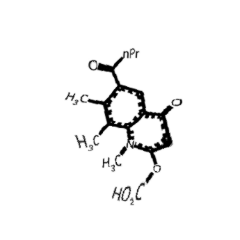 CCCC(=O)c1cc2c(=O)cc(OC(=O)O)n(C)c2c(C)c1C